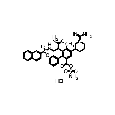 Cc1c(C2CCCN(C(=N)N)C2)cc(C(=O)OS(N)(=O)=O)c(-c2ccccc2)c1C(CNS(=O)(=O)c1ccc2ccccc2c1)C(N)=O.Cl